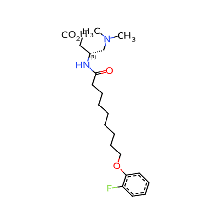 CN(C)C[C@@H](CC(=O)O)NC(=O)CCCCCCCCOc1ccccc1F